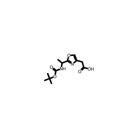 CC(NC(=O)OC(C)(C)C)c1nc(CC(=O)O)co1